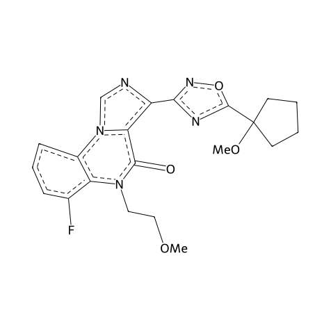 COCCn1c(=O)c2c(-c3noc(C4(OC)CCCC4)n3)ncn2c2cccc(F)c21